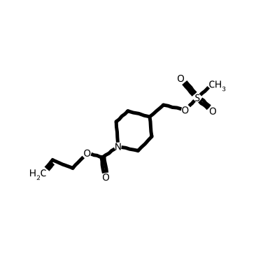 C=CCOC(=O)N1CCC(COS(C)(=O)=O)CC1